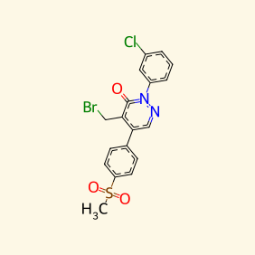 CS(=O)(=O)c1ccc(-c2cnn(-c3cccc(Cl)c3)c(=O)c2CBr)cc1